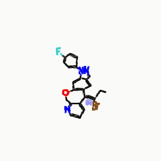 CC/C(Br)=C1\c2cc3cnn(-c4ccc(F)cc4)c3cc2OCc2ncccc21